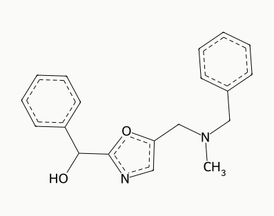 CN(Cc1ccccc1)Cc1cnc(C(O)c2ccccc2)o1